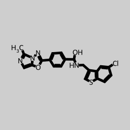 Cc1ncc2oc(-c3ccc(C(O)NCc4csc5ccc(Cl)cc45)cc3)nn12